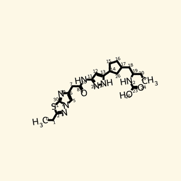 CCc1nn2cc(CC(=O)Nc3cc(C4CCC(CC(CC)NC(=O)O)C4)[nH]n3)nc2s1